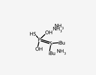 CCC(C)S(C(C)CC)=P(O)(O)S.N.N.N